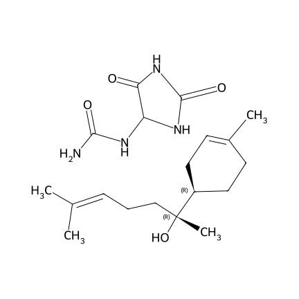 CC(C)=CCC[C@@](C)(O)[C@H]1CC=C(C)CC1.NC(=O)NC1NC(=O)NC1=O